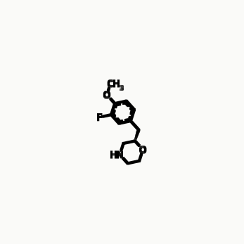 COc1ccc(C[C@@H]2CNCCO2)cc1F